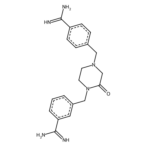 N=C(N)c1ccc(CN2CCN(Cc3cccc(C(=N)N)c3)C(=O)C2)cc1